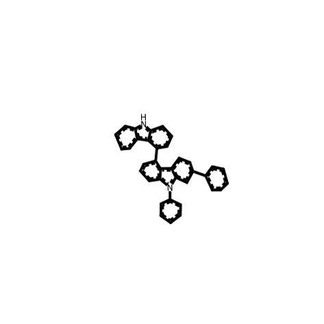 c1ccc(-c2ccc3c4c(-c5cccc6[nH]c7ccccc7c56)cccc4n(-c4ccccc4)c3c2)cc1